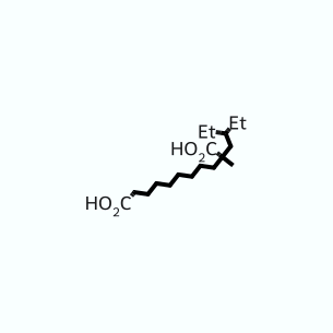 CCC(CC)CC(C)(CCCCCCCCC(=O)O)C(=O)O